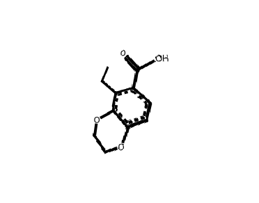 CCc1c(C(=O)O)ccc2c1OCCO2